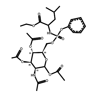 CCOC(=O)C(CC(C)C)NP(=O)(OC[C@H]1OC(OC(C)=O)[C@@H](NC(C)=O)[C@@H](OC(C)=O)[C@@H]1OC(C)=O)Oc1ccccc1